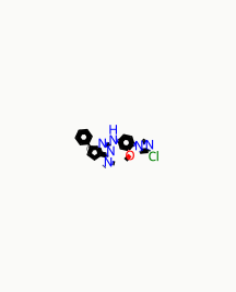 COc1cc(Nc2nc3c(c(N(C)C)n2)CC[C@H]3c2ccccc2)ccc1-n1cnc(Cl)c1